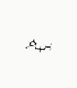 CC(Cl)CCC(C)(C)Cn1cc(I)cc1C#N